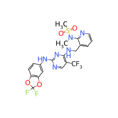 CN(c1ncccc1CNc1nc(Nc2ccc3c(c2)OC(F)(F)O3)ncc1C(F)(F)F)S(C)(=O)=O